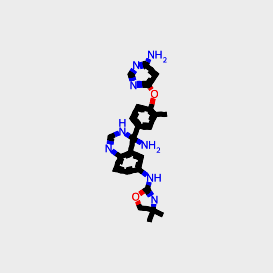 Cc1cc(C2(N)NC=Nc3ccc(NC4=NC(C)(C)CO4)cc32)ccc1Oc1cc(N)ncn1